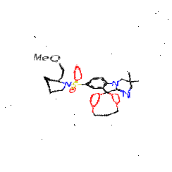 COC[C@@H]1CCCN1S(=O)(=O)c1ccc2c(c1)C1(OCCCO1)C1=NCC(C)(C)CN12